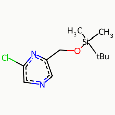 CC(C)(C)[Si](C)(C)OCc1cncc(Cl)n1